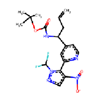 C=CCC(NC(=O)OC(C)(C)C)c1ccnc(-c2c([N+](=O)[O-])cnn2C(F)F)c1